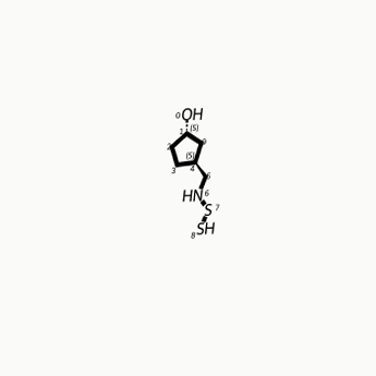 O[C@H]1CC[C@H](CNSS)C1